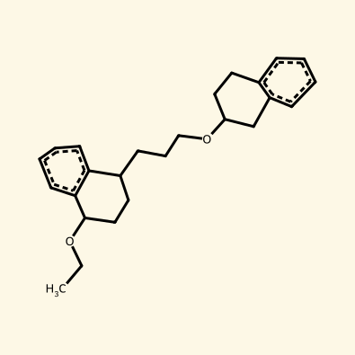 CCOC1CCC(CCCOC2CCc3ccccc3C2)c2ccccc21